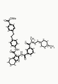 COC(=O)c1ccc(CCc2ccc(NC(=O)c3c(NC(=O)c4cccc(C(=O)N(C)CCN5CCN(C)CC5)c4)sc4c3CCCC4)cc2)cc1